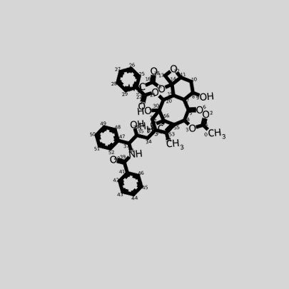 CC(=O)OC1C(=O)C2C(O)CC3OCC3(OC(C)=O)C2C(OC(=O)c2ccccc2)C2(O)CC(CC(O)C(NC(=O)c3ccccc3)c3ccccc3)C(C)=C1C2(C)C